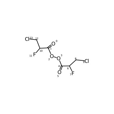 O=C(OOC(=O)C(F)CCl)C(F)CCl